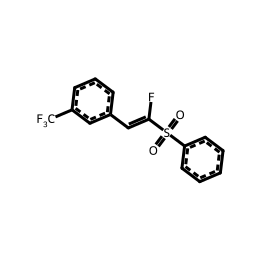 O=S(=O)(/C(F)=C/c1cccc(C(F)(F)F)c1)c1ccccc1